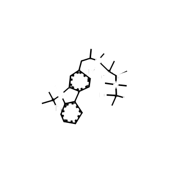 CCC(C)(CC)S(C)(C)[C@H](C)[C@@](C)(CC)[S@@](C)(C(C)C)C(C)Cc1ccc2c(c1)[S@](C)(C(C)(CC)CC)c1ccccc1-2